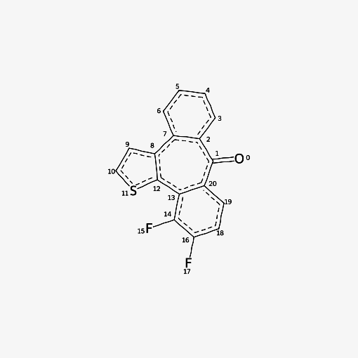 O=c1c2ccccc2c2ccsc2c2c(F)c(F)ccc12